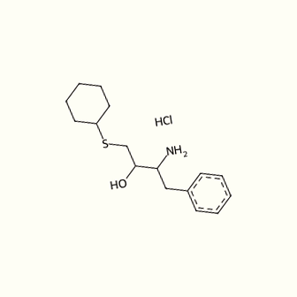 Cl.NC(Cc1ccccc1)C(O)CSC1CCCCC1